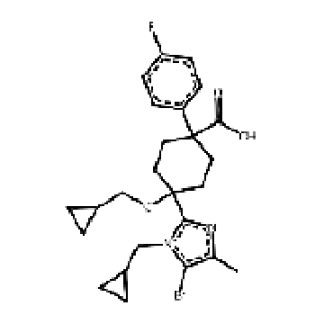 Cc1nc(C2(OCC3CC3)CCC(C(=O)O)(c3ccc(F)cc3)CC2)n(CC2CC2)c1Br